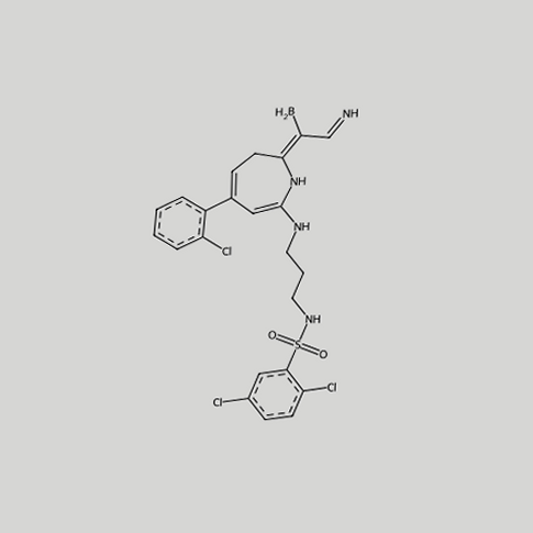 B/C(C=N)=C1\CC=C(c2ccccc2Cl)C=C(NCCCNS(=O)(=O)c2cc(Cl)ccc2Cl)N1